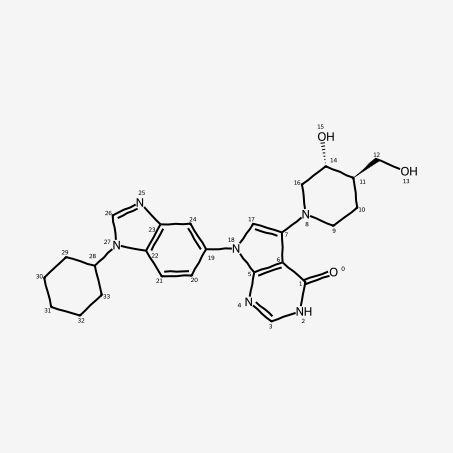 O=c1[nH]cnc2c1c(N1CC[C@H](CO)[C@@H](O)C1)cn2-c1ccc2c(c1)ncn2C1CCCCC1